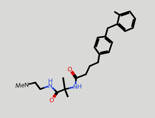 CNCCNC(=O)C(C)(C)NC(=O)CCCc1ccc(Cc2ccccc2C)cc1